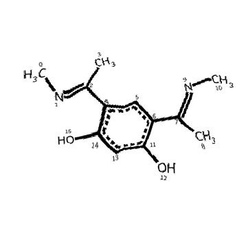 CN=C(C)c1cc(C(C)=NC)c(O)cc1O